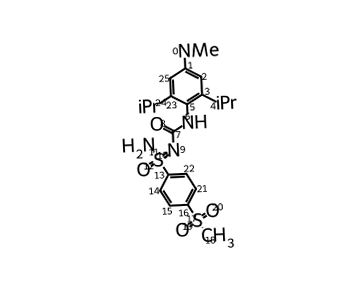 CNc1cc(C(C)C)c(NC(=O)N=S(N)(=O)c2ccc(S(C)(=O)=O)cc2)c(C(C)C)c1